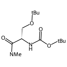 CNC(=O)[C@H](COC(C)(C)C)NC(=O)OC(C)(C)C